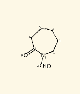 O=CN1CCCCCC1=O